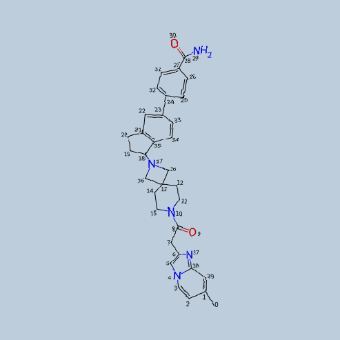 Cc1ccn2cc(CC(=O)N3CCC4(CC3)CN(C3CCc5cc(-c6ccc(C(N)=O)cc6)ccc53)C4)nc2c1